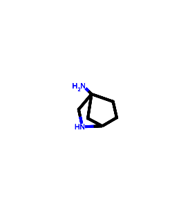 NC12CCC(C1)NC2